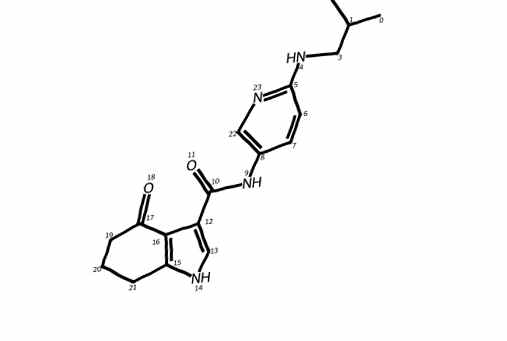 CC(C)CNc1ccc(NC(=O)c2c[nH]c3c2C(=O)CCC3)cn1